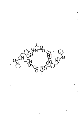 CC(C)C[C@H]1C(=O)O[C@H](Cc2ccc(Cn3cc(C(=O)N4CCCCC4)cn3)cc2)C(=O)N(C)[C@@H](CC(C)C)C(=O)O[C@H](C)C(=O)N(C)[C@@H](CC(C)C)C(=O)O[C@H](Cc2ccc(Cn3cc(C(=O)N4CCCCC4)cn3)cc2)C(=O)N(C)[C@@H](CC(C)C)C(=O)O[C@H](C)C(=O)N1C